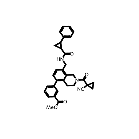 COC(=O)c1cccc(-c2ccc(CNC(=O)C3CC3c3ccccc3)c3c2CCN(C(=O)C2(C#N)CC2)C3)c1